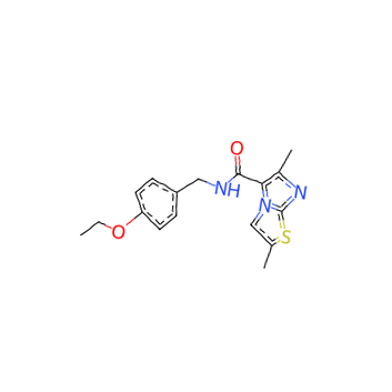 CCOc1ccc(CNC(=O)c2c(C)nc3sc(C)cn23)cc1